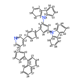 C1=Cc2c(n(-c3cc(-c4ccc(-c5cncc(-c6cccc(-c7cccc8ccccc78)c6)c5)cc4)cc(-n4c5c(c6ccccc64)C=CCC5)c3)c3ccccc23)CC1